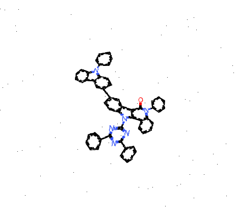 O=c1c2c3cc(-c4ccc5c(c4)c4ccccc4n5-c4ccccc4)ccc3n(-c3nc(-c4ccccc4)nc(-c4ccccc4)n3)c2c2ccccc2n1-c1ccccc1